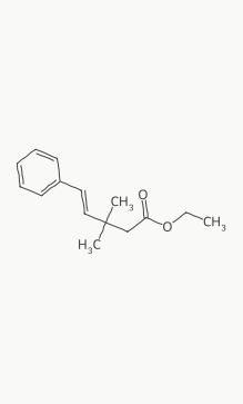 CCOC(=O)CC(C)(C)/C=C/c1ccccc1